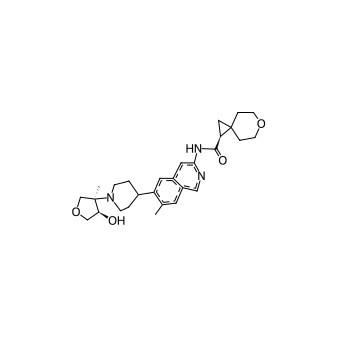 Cc1cc2cnc(NC(=O)[C@H]3CC34CCOCC4)cc2cc1C1CCN([C@]2(C)COC[C@@H]2O)CC1